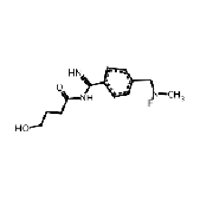 CN(F)Cc1ccc(C(=N)NC(=O)CCCO)cc1